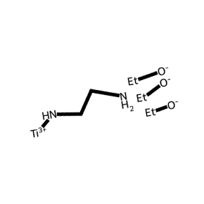 CC[O-].CC[O-].CC[O-].NCC[NH][Ti+3]